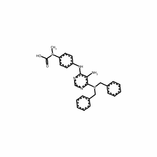 CN(C(=O)O)c1ccc(Nc2ncnc(N(Cc3ccccc3)Cc3ccccc3)c2N)cc1